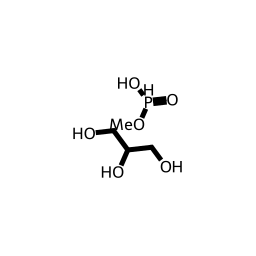 CO[PH](=O)O.OCC(O)CO